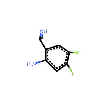 N=Cc1cc(F)c(F)cc1N